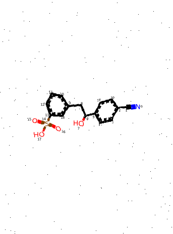 N#Cc1ccc(C(O)Cc2cccc(S(=O)(=O)O)c2)cc1